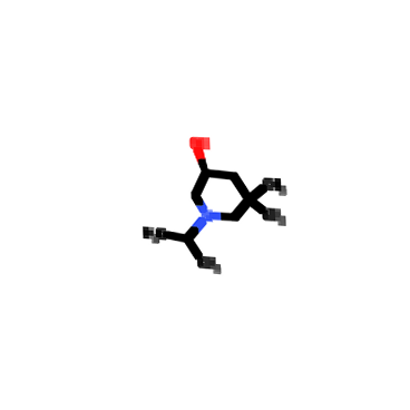 CC(C)N1C[C@@H](O)CC(C)(C)C1